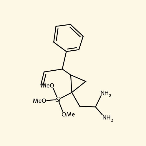 C=CC(c1ccccc1)C1CC1(CC(N)N)[Si](OC)(OC)OC